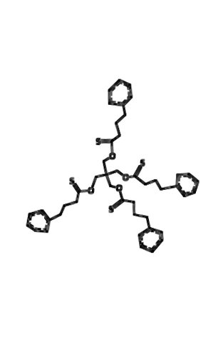 S=C(CCCc1ccccc1)OCC(COC(=S)CCCc1ccccc1)(COC(=S)CCCc1ccccc1)COC(=S)CCCc1ccccc1